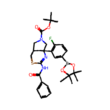 CC(C)(C)OC(=O)N1CC2CSC(NC(=O)c3ccccc3)=NC2(c2cc(B3OC(C)(C)C(C)(C)O3)ccc2F)C1